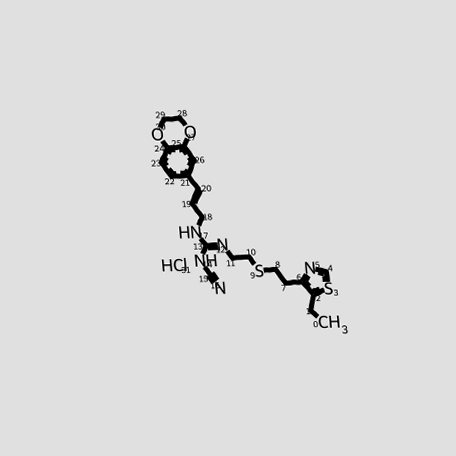 CCc1scnc1CCSCCN=C(NC#N)NCC=Cc1ccc2c(c1)OCCO2.Cl